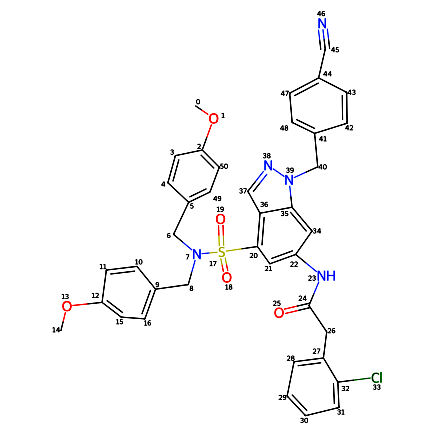 COc1ccc(CN(Cc2ccc(OC)cc2)S(=O)(=O)c2cc(NC(=O)Cc3ccccc3Cl)cc3c2cnn3Cc2ccc(C#N)cc2)cc1